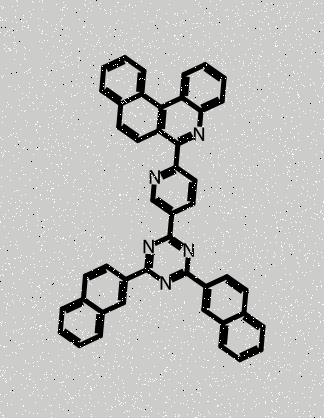 c1ccc2cc(-c3nc(-c4ccc(-c5nc6ccccc6c6c5ccc5ccccc56)nc4)nc(-c4ccc5ccccc5c4)n3)ccc2c1